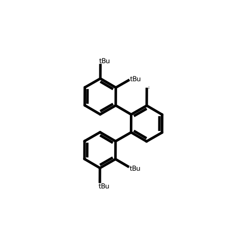 [CH]c1cccc(-c2cccc(C(C)(C)C)c2C(C)(C)C)c1-c1cccc(C(C)(C)C)c1C(C)(C)C